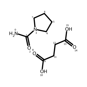 NC(=O)N1CCCC1.O=C(O)CCC(=O)O